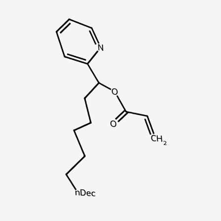 C=CC(=O)OC(CCCCCCCCCCCCCCC)c1ccccn1